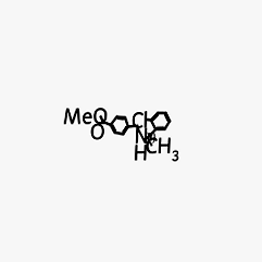 COC(=O)c1ccc(CN[C@H](C)c2ccccc2Cl)cc1